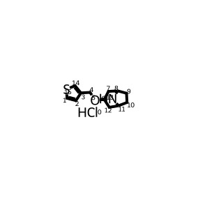 Cl.c1cc(COC2CC3CCC(C2)N3)cs1